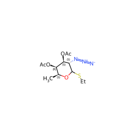 CCSC1O[C@@H](C)[C@@H](OC(C)=O)[C@@H](OC(C)=O)[C@@H]1N=[N+]=[N-]